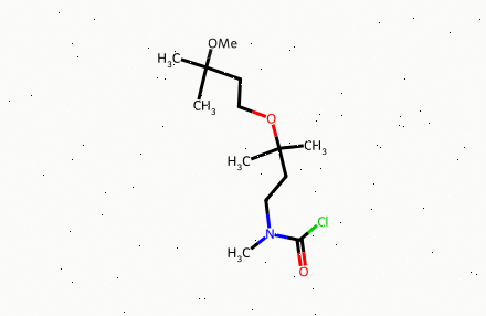 COC(C)(C)CCOC(C)(C)CCN(C)C(=O)Cl